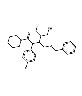 O=C(C(c1ccc(F)cc1)C(COCc1ccccc1)C(CO)CO)N1CCCCC1